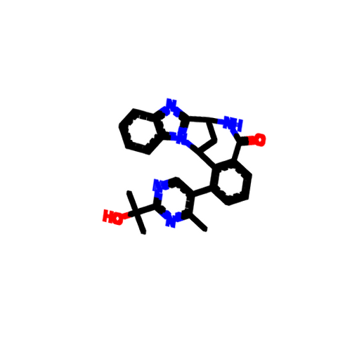 Cc1nc(C(C)(C)O)ncc1-c1cccc2c1C1CC(NC2=O)c2nc3ccccc3n21